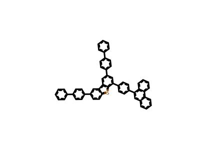 c1ccc(-c2ccc(-c3ccc4sc5c(-c6ccc(-c7cc8ccccc8c8ccccc78)cc6)cc(-c6ccc(-c7ccccc7)cc6)cc5c4c3)cc2)cc1